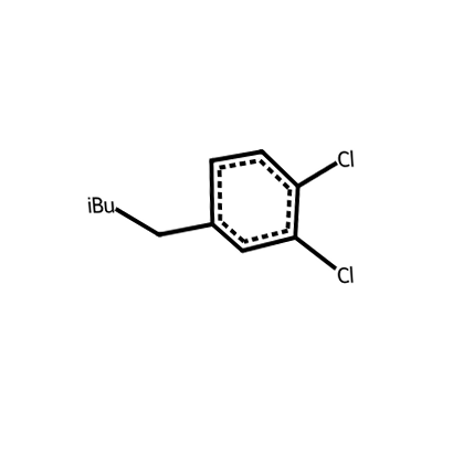 CCC(C)Cc1ccc(Cl)c(Cl)c1